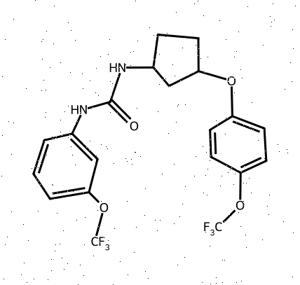 O=C(Nc1cccc(OC(F)(F)F)c1)NC1CCC(Oc2ccc(OC(F)(F)F)cc2)C1